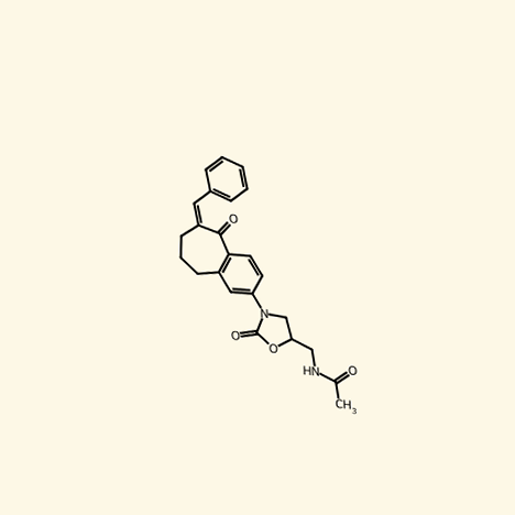 CC(=O)NCC1CN(c2ccc3c(c2)CCC/C(=C/c2ccccc2)C3=O)C(=O)O1